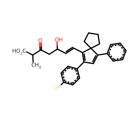 CC(C(=O)O)C(=O)CC(O)C=CC1=C(c2ccc(F)cc2)C=C(c2ccccc2)C12CCCC2